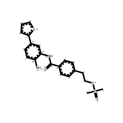 CP(C)(=O)OCCc1ccc(C(=O)Nc2cc(-c3cccs3)ccc2N)cc1